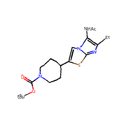 CCc1nc2sc(C3CCN(C(=O)OC(C)(C)C)CC3)cn2c1NC(C)=O